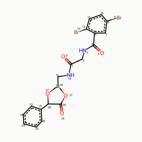 O=C(CNC(=O)c1cc(Br)ccc1Br)NCB1OC(=O)C(c2ccccc2)O1